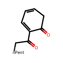 [CH2]CCCCCC(=O)C1=CC=CCC1=O